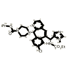 CCOC(=O)N[C@H](C1=Cc2cccnc2[C@@H](N2CCN(C(=O)OC(C)C)CC2)c2ccc(Cl)cc21)c1cncn1C